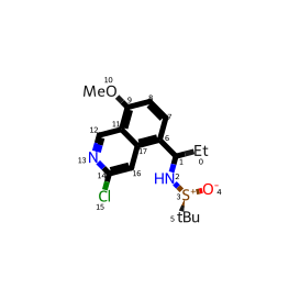 CCC(N[S@@+]([O-])C(C)(C)C)c1ccc(OC)c2cnc(Cl)cc12